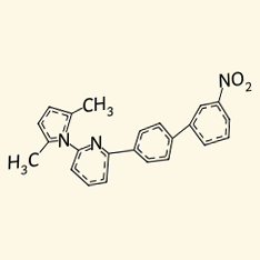 Cc1ccc(C)n1-c1cccc(-c2ccc(-c3cccc([N+](=O)[O-])c3)cc2)n1